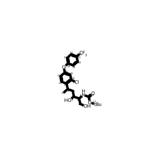 CC(CC(O)C(CO)NC(=O)OC(C)(C)C)c1ccc(Oc2ccc(C(F)(F)F)cc2)cc1Cl